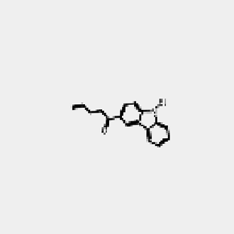 C=CCCC(=O)c1ccc2c(c1)c1ccccc1n2CC